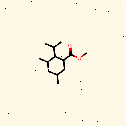 COC(=O)C1CC(C)CC(C)C1C(C)C